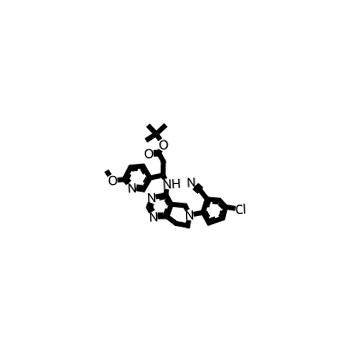 COc1ccc(C(CC(=O)OC(C)(C)C)Nc2ncnc3c2CN(c2ccc(Cl)cc2C#N)CC3)cn1